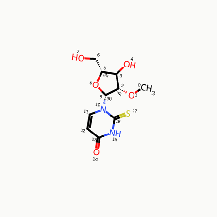 CO[C@H]1C(O)[C@@H](CO)O[C@H]1n1ccc(=O)[nH]c1=S